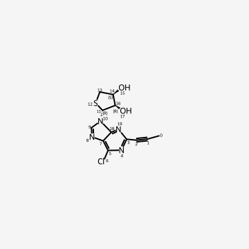 CC#Cc1nc(Cl)c2ncn([C@@H]3SC[C@@H](O)[C@H]3O)c2n1